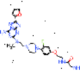 CN(CCN1CCN(c2ccc(OCCNC(=O)CN)cc2F)CC1)c1nc(N)n2nc(-c3ccco3)nc2n1